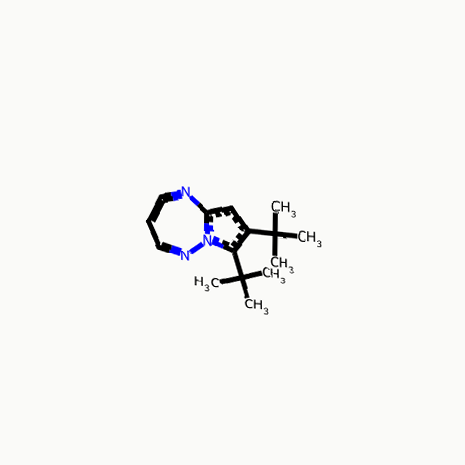 CC(C)(C)c1cc2n(c1C(C)(C)C)N=CC=C=N2